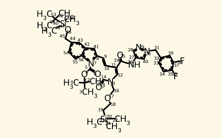 CC(C)(C)OC(=O)n1c(/C=C/C(=C\N(C=O)COCC[Si](C)(C)C)C(=O)Nc2cnn(Cc3ccc(F)c(F)c3)c2)cc2cc(CO[Si](C)(C)C(C)(C)C)ccc21